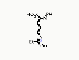 CC/C(=N\CCCC(N=P)C(=O)O)C(C)(C)C